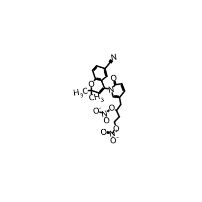 CC1(C)C=C(n2cc(CC(CCO[N+](=O)[O-])O[N+](=O)[O-])ccc2=O)c2cc(C#N)ccc2O1